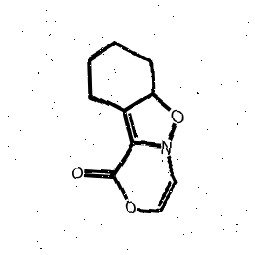 O=C1OC=CN2OC3CCCCC3=C12